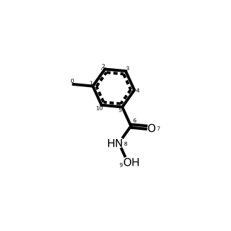 Cc1[c]ccc(C(=O)NO)c1